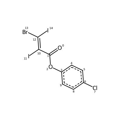 O=C(Oc1ccc(Cl)cc1)C(I)=C(Br)I